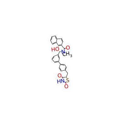 CN(Cc1cccc(-c2ccc(CC3SC(=O)NC3=O)cc2)c1)C(=O)c1ccc2ccccc2c1O